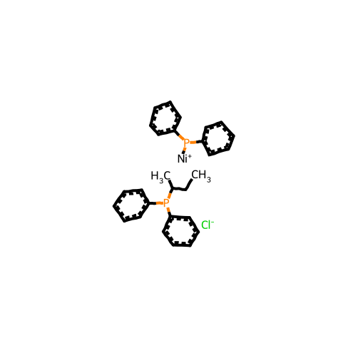 CCC(C)P(c1ccccc1)c1ccccc1.[Cl-].[Ni+][P](c1ccccc1)c1ccccc1